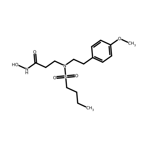 CCCCS(=O)(=O)N(CCC(=O)NO)CCc1ccc(OC)cc1